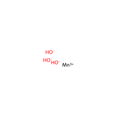 [Mn+3].[OH-].[OH-].[OH-]